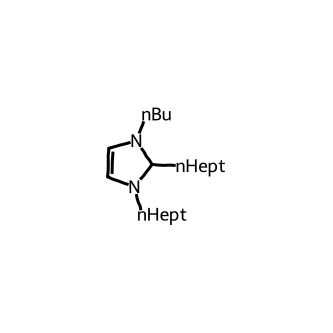 CCCCCCCC1N(CCCC)C=CN1CCCCCCC